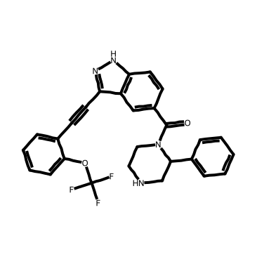 O=C(c1ccc2[nH]nc(C#Cc3ccccc3OC(F)(F)F)c2c1)N1CCNCC1c1ccccc1